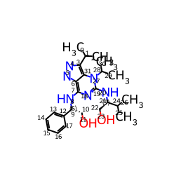 CC(C)c1nnc2c(N[C@H](CO)c3ccccc3)nc(N[C@H](CO)C(C)C)n(C(C)C)c1-2